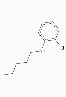 CCCCCNc1ccc[c]c1Cl